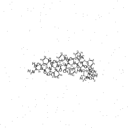 C[C@H](c1ccccc1)N(CC(=O)N(CC(=O)N(CC(=O)N(CC(=O)N(CC(=O)N(CC(N)=O)[C@@H](C)c1ccccc1)[C@@H](C)c1ccccc1)[C@@H](C)c1ccccc1)[C@H](C)c1ccccc1)[C@H](C)c1ccccc1)C(=O)CNC1CC(C)(C)N(O)C(C)(C)C1